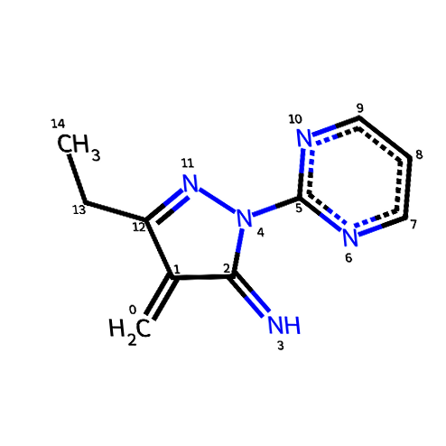 C=C1C(=N)N(c2ncccn2)N=C1CC